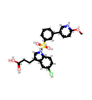 COc1ccc(-c2cccc(S(=O)(=O)n3cc(CCC(=O)O)c4cc(Cl)ccc43)c2)cn1